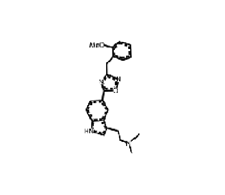 COc1ccccc1Cc1noc(-c2ccc3[nH]cc(CCN(C)C)c3c2)n1